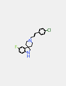 Fc1ccc2c(c1)C1(CCN(C/C=C/c3ccc(Cl)cc3)CC1)CN2